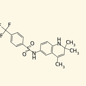 CC1=CC(C)(C)Nc2ccc(NS(=O)(=O)c3ccc(C(F)(F)F)cc3)cc21